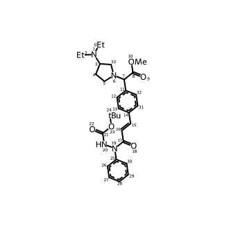 CCN(CC)C1CCN(C(C(=O)OC)c2ccc(C=CC(=O)N(NC(=O)OC(C)(C)C)c3ccccc3)cc2)C1